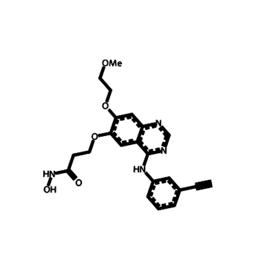 C#Cc1cccc(Nc2ncnc3cc(OCCOC)c(OCCC(=O)NO)cc23)c1